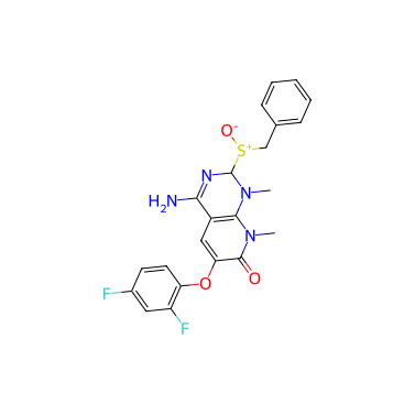 CN1c2c(cc(Oc3ccc(F)cc3F)c(=O)n2C)C(N)=NC1[S+]([O-])Cc1ccccc1